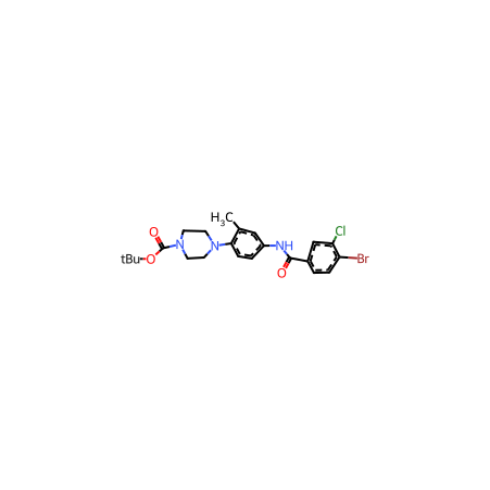 Cc1cc(NC(=O)c2ccc(Br)c(Cl)c2)ccc1N1CCN(C(=O)OC(C)(C)C)CC1